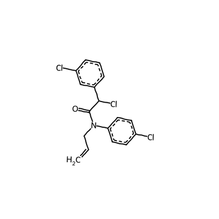 C=CCN(C(=O)C(Cl)c1cccc(Cl)c1)c1ccc(Cl)cc1